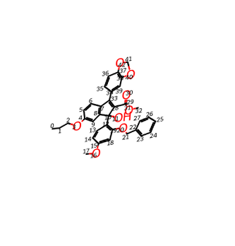 CCCOc1ccc2c(c1)C(O)(c1ccc(OC)cc1OCc1ccccc1)C(C(=O)OC)=C2c1ccc2c(c1)OCO2